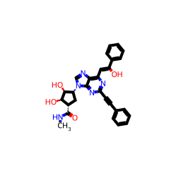 CNC(=O)[C@H]1C[C@@H](n2cnc3c(/C=C(\O)c4ccccc4)nc(C#Cc4ccccc4)nc32)[C@H](O)[C@@H]1O